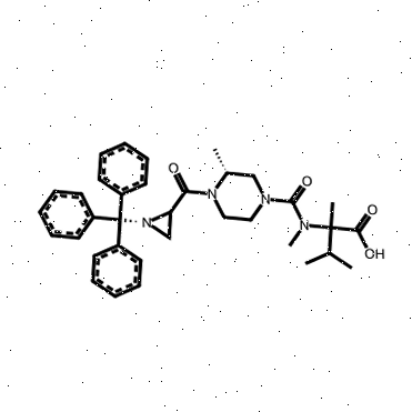 CC(C)C(C)(C(=O)O)N(C)C(=O)N1CCN(C(=O)C2C[N@]2C(c2ccccc2)(c2ccccc2)c2ccccc2)[C@H](C)C1